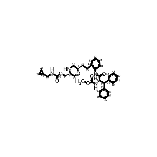 COC(=O)N[C@H](C(=O)Nc1ccccc1CC[C@@H]1CN[C@H](COC(=O)NCC2CC2)CO1)C(c1ccccc1)c1ccccc1